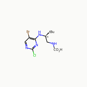 CC(C)(C)[C@@H](CNC(=O)O)Nc1nc(Cl)ncc1Br